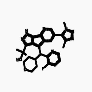 Cc1nnn(C)c1-c1cnc2c3[nH]nc(C(C)(C)O)c3n(C(c3ncccc3F)C3CCOCC3)c2c1